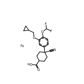 N#CC1(c2ccc(OC(F)F)c(OCC3CC3)c2)CCC(C(=O)O)CC1.[Fe]